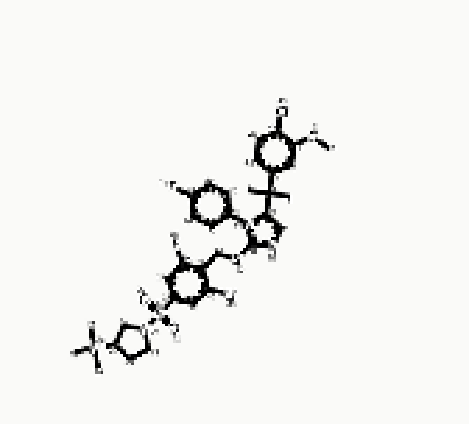 COc1cc(C(C)(C)c2cnc(SCc3c(F)cc(S(=O)(=O)N4CCC([N+](C)(C)C)C4)cc3Cl)n2-c2ccc(F)cc2)ccc1Cl